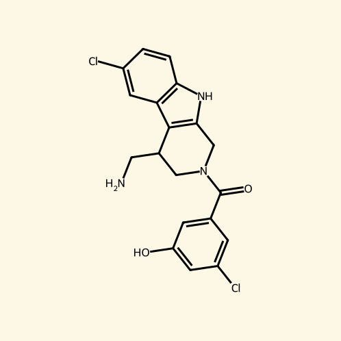 NCC1CN(C(=O)c2cc(O)cc(Cl)c2)Cc2[nH]c3ccc(Cl)cc3c21